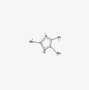 CC(C)c1nc(C(C)(C)C)[nH]c1C(C)(C)C